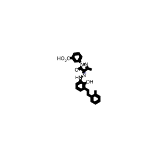 CC1=NN(c2cccc(C(=O)O)c2)C(=O)/C1=N\Nc1cccc(CCc2ccccc2C)c1O